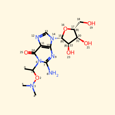 CC(ON(C)C)n1c(N)nc2c(ncn2[C@@H]2O[C@H](CO)[C@@H](O)[C@H]2O)c1=O